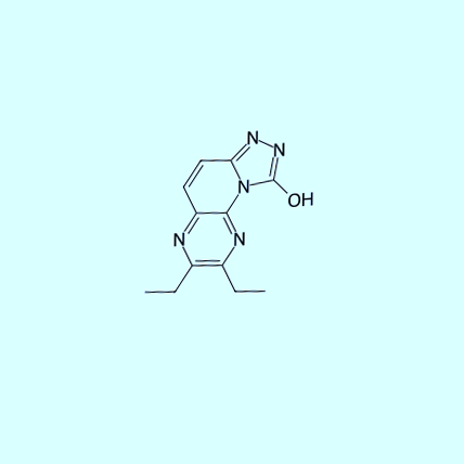 CCc1nc2ccc3nnc(O)n3c2nc1CC